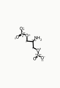 NC(CO[N+](=O)[O-])CO[N+](=O)[O-]